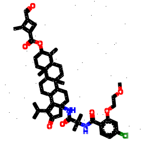 COCCOc1cc(Cl)ccc1C(=O)NC(C)(C)C(=O)NC12CCC3C(CCC4C3(C)CCC3C(C)C(OC(=O)C5CC(C=O)C5C)CCC34C)C1=C(C(C)C)C(=O)C2